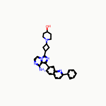 Nc1nccn2c(C3CC(N4CCC(O)CC4)C3)nc(-c3ccc4ccc(-c5ccccc5)nc4c3)c12